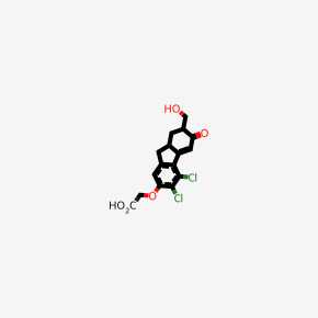 O=C(O)COc1cc2c(c(Cl)c1Cl)C1=CC(=O)C(CO)CC1C2